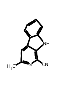 Cc1cc2c([nH]c3ccccc32)c(C#N)n1